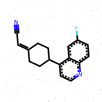 N#CC=C1CCC(c2ccnc3ccc(F)cc23)CC1